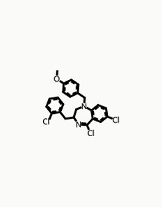 COc1ccc(CN2CC(Cc3ccccc3Cl)N=C(Cl)c3cc(Cl)ccc32)cc1